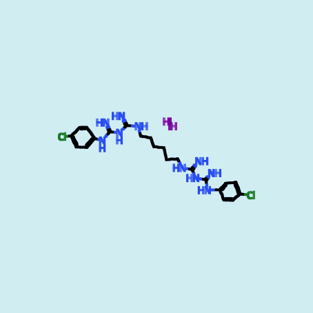 I.I.N=C(NCCCCCCNC(=N)NC(=N)Nc1ccc(Cl)cc1)NC(=N)Nc1ccc(Cl)cc1